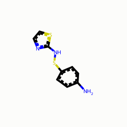 Nc1ccc(SNc2nccs2)cc1